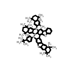 Cc1cc2c(cc1N1c3cc4c(cc3B3c5c1cc1c(oc6ccccc61)c5-c1cc5c(cc1N3c1ccc(C(C)(C)C)cc1)sc1cc3c(cc15)C(C)(C)CCC3(C)C)C(C)(C)CCC4(C)C)C(C)(C)CCC2(C)C